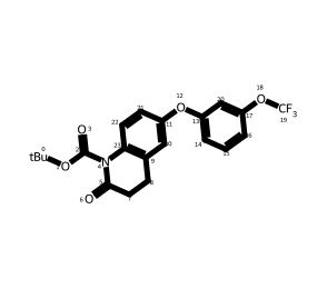 CC(C)(C)OC(=O)N1C(=O)CCc2cc(Oc3cccc(OC(F)(F)F)c3)ccc21